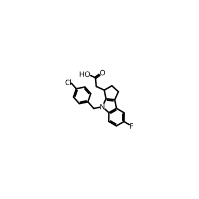 O=C(O)CC1CCc2c1n(Cc1ccc(Cl)cc1)c1ccc(F)cc21